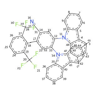 Cc1ccc2c3ccccc3n(-c3cc(C#N)c(-c4c(C(F)(F)F)cccc4C(F)(F)F)cc3-n3c4ccccc4c4ccc(C)cc43)c2c1